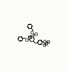 CS(=O)(=O)Oc1ccc(CC(CNC(=O)OCc2ccccc2)CC(=O)OCc2ccccc2)cc1